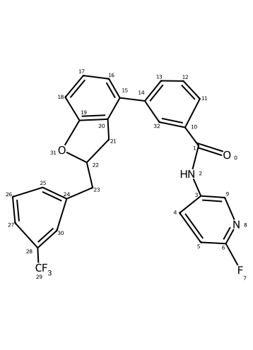 O=C(Nc1ccc(F)nc1)c1cccc(-c2cccc3c2CC(Cc2cccc(C(F)(F)F)c2)O3)c1